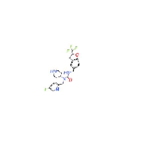 O=C(NCc1ccc2c(c1)CC(C(F)(F)F)O2)N(Cc1ccc(F)cn1)C1CCNCC1